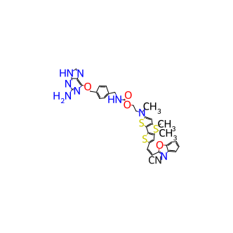 CN(CCOC(=O)NCc1ccc(COc2nc(N)nc3[nH]cnc23)cc1)c1cc2c(s1)-c1sc(/C=C(/C#N)c3nc4ccccc4o3)cc1S2(C)C